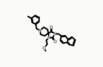 COCCN1C(=O)N(Cc2ccc3ccccc3c2)C(=O)C12CCN(Cc1cccc(C)c1)CC2